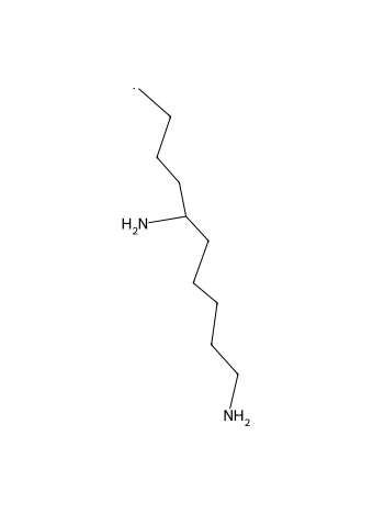 [CH2]CCCC(N)CCCCCN